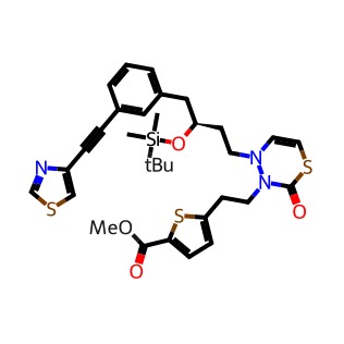 COC(=O)c1ccc(CCN2C(=O)SC=CN2CC[C@H](Cc2cccc(C#Cc3cscn3)c2)O[Si](C)(C)C(C)(C)C)s1